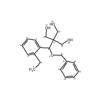 CCc1ccccc1C(OCc1ccccc1)C(CO)(CO)CO